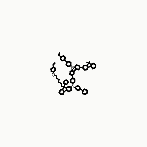 C=Cc1ccc(OCCCCCCC2(c3ccccc3)c3ccccc3-c3ccc(N(c4ccc(-c5ccccc5)cc4)c4ccc(-c5ccc6c(c5)c5cc(-c7ccc8c(c7)C(C)(C)c7ccccc7-8)ccc5n6-c5ccc(-c6ccc(C=C)cc6)cc5)cc4)cc32)cc1